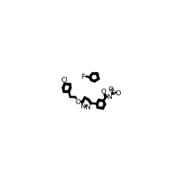 Fc1ccccc1.O=C(N=S(=O)=O)c1cccc(-c2ccc(OCCc3ccc(Cl)cc3)nn2)c1